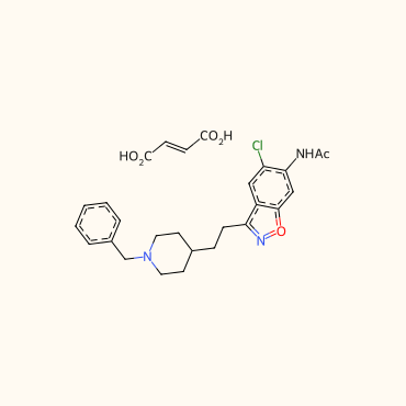 CC(=O)Nc1cc2onc(CCC3CCN(Cc4ccccc4)CC3)c2cc1Cl.O=C(O)/C=C/C(=O)O